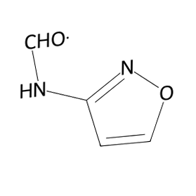 O=[C]Nc1ccon1